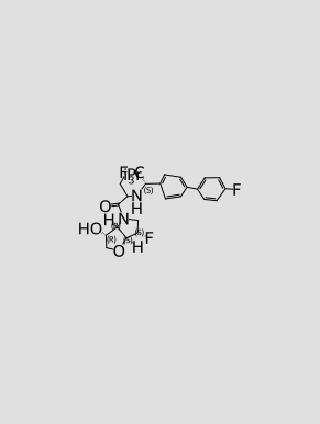 CC(C)CC(N[C@@H](c1ccc(-c2ccc(F)cc2)cc1)C(F)(F)F)C(=O)N1C[C@H](F)[C@H]2OC[C@H](O)[C@H]21